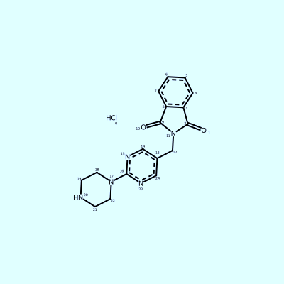 Cl.O=C1c2ccccc2C(=O)N1Cc1cnc(N2CCNCC2)nc1